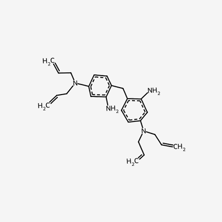 C=CCN(CC=C)c1ccc(Cc2ccc(N(CC=C)CC=C)cc2N)c(N)c1